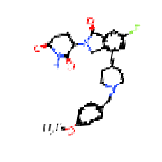 COc1ccc(CN2CCC(c3cc(F)cc4c3CN(C3CCC(=O)NC3=O)C4=O)CC2)cc1